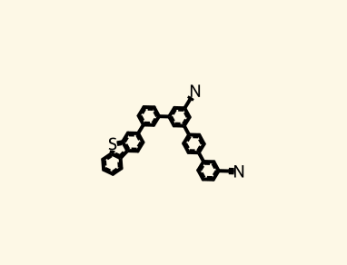 N#Cc1cccc(-c2ccc(-c3cc(C#N)cc(-c4cccc(-c5ccc6c(c5)sc5ccccc56)c4)c3)cc2)c1